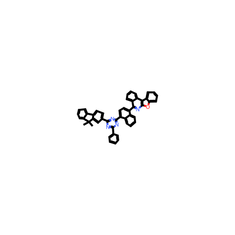 CC1(C)c2ccccc2-c2ccc(-c3nc(-c4ccccc4)nc(-c4ccc(-c5nc6oc7ccccc7c6c6ccccc56)c5ccccc45)n3)cc21